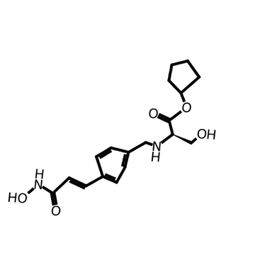 O=C(C=Cc1ccc(CN[C@H](CO)C(=O)OC2CCCC2)cc1)NO